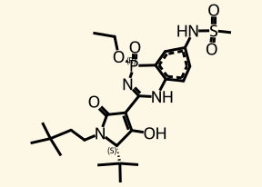 CCO[P@@]1(=O)N=C(C2=C(O)[C@H](C(C)(C)C)N(CCC(C)(C)C)C2=O)Nc2ccc(NS(C)(=O)=O)cc21